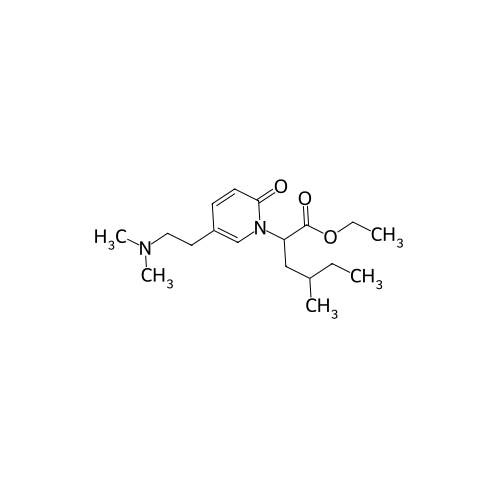 CCOC(=O)C(CC(C)CC)n1cc(CCN(C)C)ccc1=O